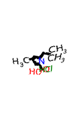 Cc1cc(CC(C)C)nc(C(=O)O)c1.Cl